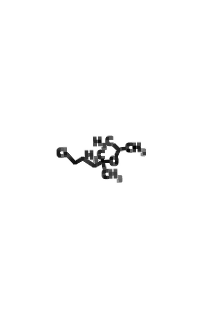 CC(C)OC(C)(C)CCCCl